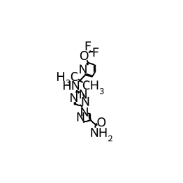 CC(C)(Nc1ncc(-n2cc(C(N)=O)cn2)nn1)c1cccc(OC(F)F)n1